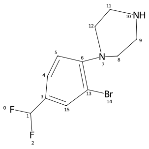 FC(F)c1ccc(N2CCNCC2)c(Br)c1